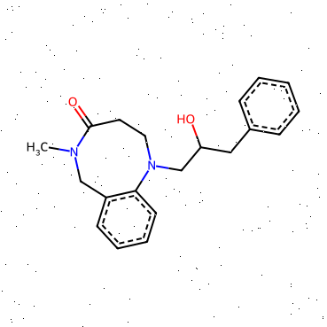 CN1Cc2ccccc2N(CC(O)Cc2ccccc2)CCC1=O